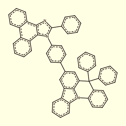 c1ccc(-c2nc3c4ccccc4c4ccccc4c3n2-c2ccc(-c3cc4c5c(c3)c3ccccc3n5-c3ccccc3C4(c3ccccc3)c3ccccc3)cc2)cc1